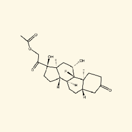 CC(=O)OCC(=O)[C@@]1(O)CC[C@H]2[C@@H]3CC[C@H]4CC(=O)CC[C@]4(C)[C@@]3(F)[C@@H](O)C[C@@]21C